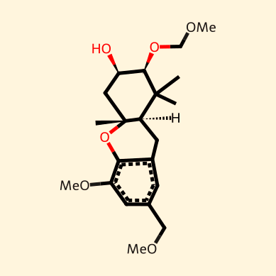 COCO[C@@H]1[C@H](O)C[C@@]2(C)Oc3c(cc(COC)cc3OC)C[C@@H]2C1(C)C